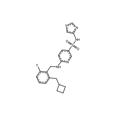 O=S(=O)(Nc1cscn1)c1ccc(NCc2c(F)cccc2CN2CCC2)nc1